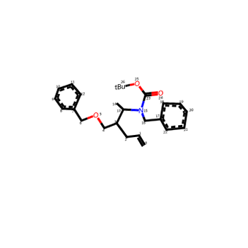 C=CCC(COCc1ccccc1)C(C)N(Cc1ccccc1)C(=O)OC(C)(C)C